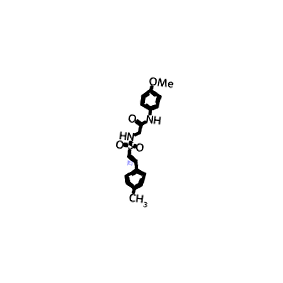 COc1ccc(NC(=O)CNS(=O)(=O)/C=C/c2ccc(C)cc2)cc1